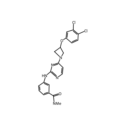 CNC(=O)c1cccc(Nc2nccc(N3CC(Oc4ccc(Cl)c(Cl)c4)C3)n2)c1